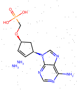 N.N.Nc1ncnc2c1ncn2[C@H]1C=C[C@@H](OCP(=O)(O)O)C1